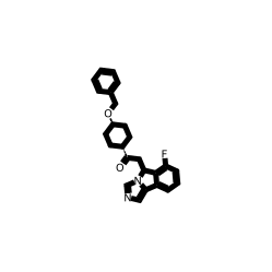 O=C(CC1c2c(F)cccc2-c2cncn21)[C@H]1CC[C@@H](OCc2ccccc2)CC1